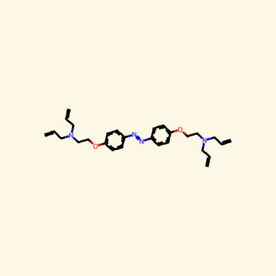 C=CCN(CC=C)CCOc1ccc(N=Nc2ccc(OCCN(CC=C)CC=C)cc2)cc1